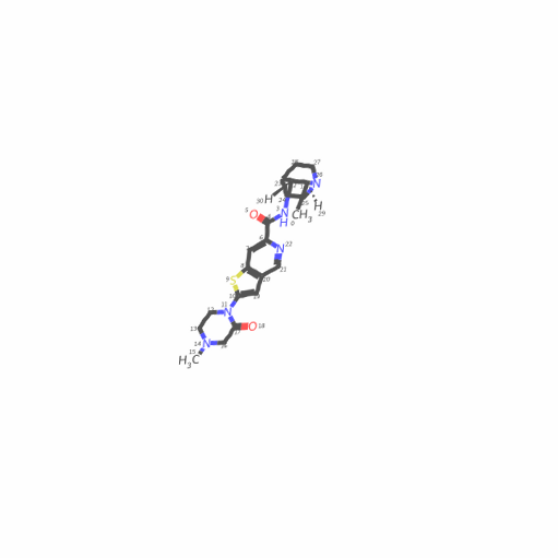 C[C@H]1[C@H](NC(=O)c2cc3sc(N4CCN(C)CC4=O)cc3cn2)C2CCN1CC2